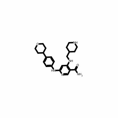 NC(=O)c1cnc(Nc2ccc(C3CCOCC3)cc2)cc1NCC1CCNCC1